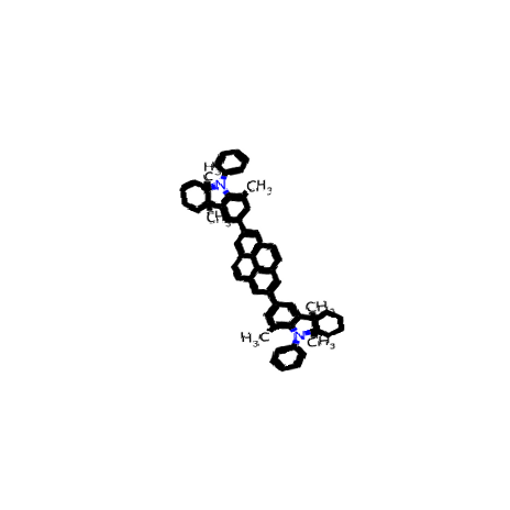 Cc1cc(-c2cc3ccc4cc(-c5cc(C)c6c(c5)C5(C)CCCCC5(C)N6c5ccccc5)cc5ccc(c2)c3c45)cc2c1N(c1ccccc1)C1(C)CCCCC21C